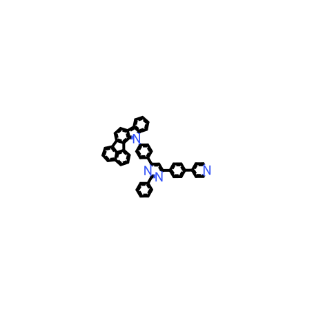 c1ccc(-c2nc(-c3ccc(-c4ccncc4)cc3)cc(-c3ccc(-n4c5ccccc5c5ccc6c(c54)-c4cccc5cccc-6c45)cc3)n2)cc1